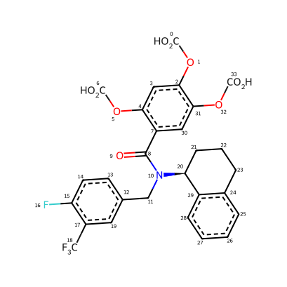 O=C(O)Oc1cc(OC(=O)O)c(C(=O)N(Cc2ccc(F)c(C(F)(F)F)c2)[C@H]2CCCc3ccccc32)cc1OC(=O)O